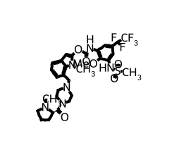 COc1c(NC(=O)Oc2cc3cccc(CN4CCN(C(=O)[C@@H]5CCCN5C)CC4)c3n2C)cc(C(F)(F)C(F)(F)F)cc1NS(C)(=O)=O